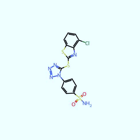 NS(=O)(=O)c1ccc(-n2nnnc2Sc2nc3c(Cl)cccc3s2)cc1